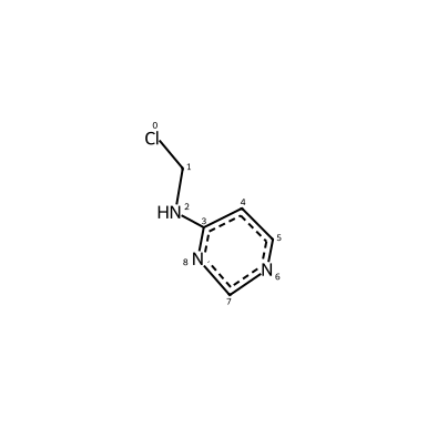 ClCNc1ccncn1